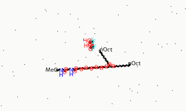 CCCCCCCC/C=C\CCCCCCCCOCC(COCCOCCOCCOCCOCCOCCOC(=O)CNCCOC(=O)CNCCOC)OCCCCCCCC/C=C\CCCCCCCC.O=C(O)C(F)(F)F.O=C(O)C(F)(F)F